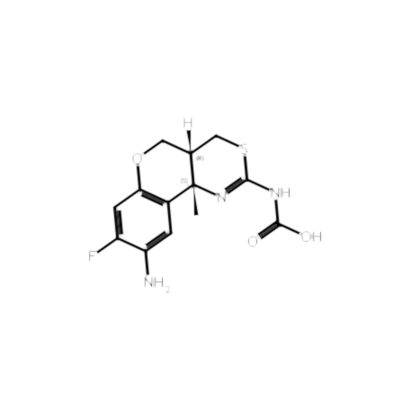 C[C@]12N=C(NC(=O)O)SC[C@H]1COc1cc(F)c(N)cc12